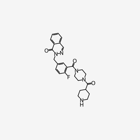 O=C(c1cc(Cn2ncc3ccccc3c2=O)ccc1F)N1CCN(C(=O)C2CCNCC2)CC1